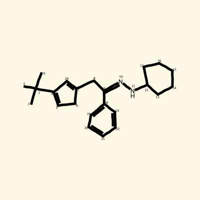 CC(C)(C)C1=CCC(CC(=NNC2CCCCC2)c2ccccc2)=C1